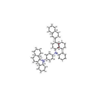 c1ccc(-c2ccccc2N(c2ccc(-c3ccc4ccccc4c3)cc2)c2ccc(-n3c4ccccc4c4ccc5ccccc5c43)cc2)cc1